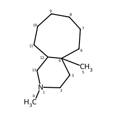 CN1CCC2(C)CCCCCCC2C1